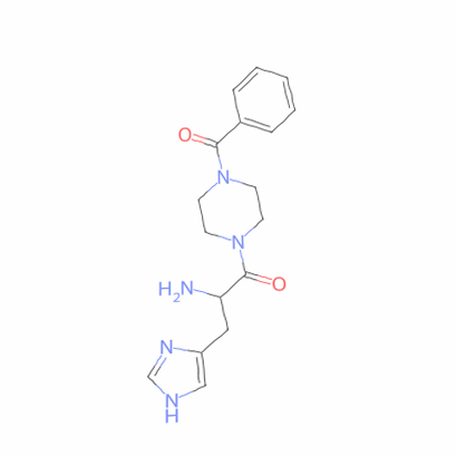 NC(Cc1c[nH]cn1)C(=O)N1CCN(C(=O)c2ccccc2)CC1